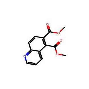 COC(=O)c1ccc2ncccc2c1C(=O)OC